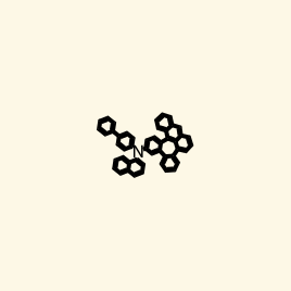 c1ccc(-c2ccc(N(c3ccc4c(c3)-c3ccccc3-c3cccc5cc6ccccc6c-4c35)c3cccc4ccccc34)cc2)cc1